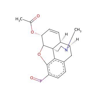 CC(=O)O[C@@H]1C=C[C@H]2[C@H]3Cc4ccc(P=O)c5c4[C@@]2(CCN3C)C1O5